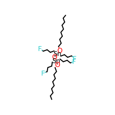 CCCCCCCCCC[O][Sn]([CH2]CCCF)([CH2]CCCF)[O][Sn]([CH2]CCCF)([CH2]CCCF)[O]CCCCCCCCCC